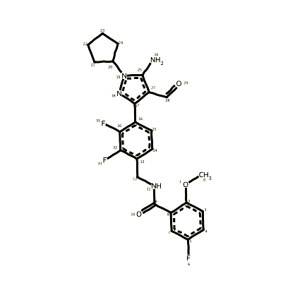 COc1ccc(F)cc1C(=O)NCc1ccc(-c2nn(C3CCCC3)c(N)c2C=O)c(F)c1F